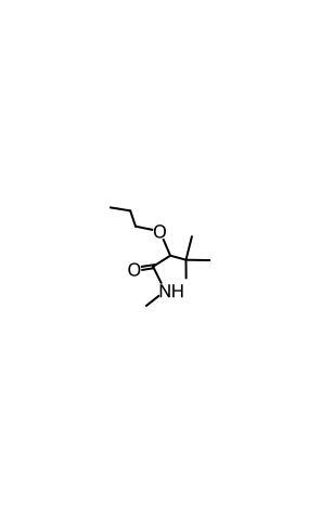 CCCOC(C(=O)NC)C(C)(C)C